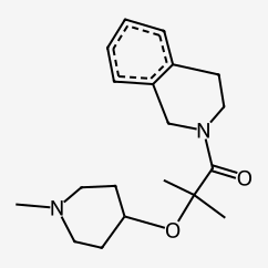 CN1CCC(OC(C)(C)C(=O)N2CCc3ccccc3C2)CC1